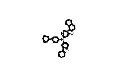 c1ccc(-c2ccc(N(c3ccc4oc5ccccc5c4c3)c3cc4oc5ccc6ccccc6c5c4cn3)cc2)cc1